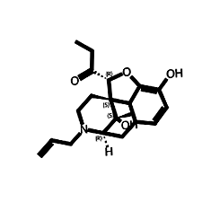 C=CCN1CC[C@@]23C4C(=C(O)C=CC4C[C@@H]1[C@@]2(C)O)O[C@H]3C(=O)CC